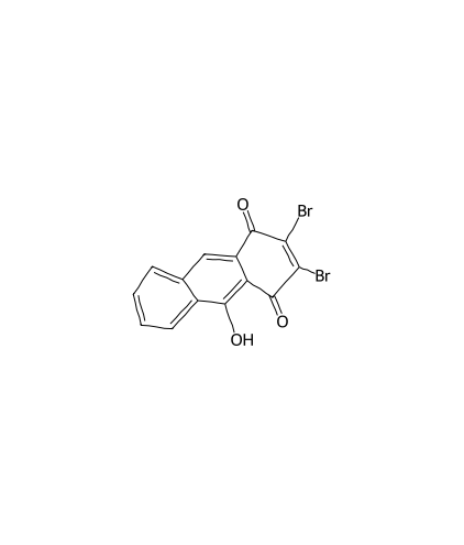 O=C1C(Br)=C(Br)C(=O)c2c1cc1ccccc1c2O